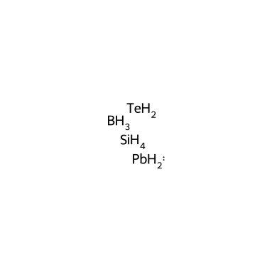 B.[PbH2].[SiH4].[TeH2]